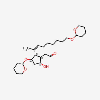 CC(=CCCCCCCOC1CCCCO1)[C@@H]1[C@@H](CC=O)[C@@H](O)C[C@H]1OC1CCCCO1